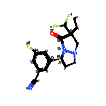 CCC1(C(F)F)CN2CC[C@H](c3cc(F)cc(C#N)c3)N2C1=O